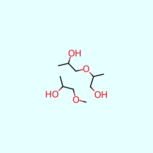 CC(O)COC(C)CO.COCC(C)O